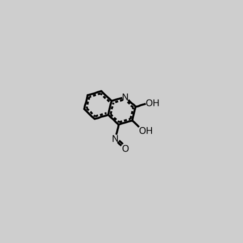 O=Nc1c(O)c(O)nc2ccccc12